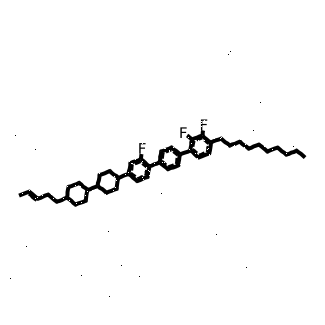 C/C=C/CCC1CCC(C2CCC(c3ccc(-c4ccc(-c5ccc(CCCCCCCCCC)c(F)c5F)cc4)c(F)c3)CC2)CC1